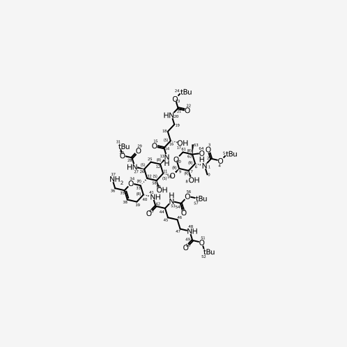 CN(C(=O)OC(C)(C)C)[C@@H]1[C@@H](O)[C@@H](O[C@H]2[C@H](NC(=O)[C@@H](O)CCNC(=O)OC(C)(C)C)C[C@H](NC(=O)OC(C)(C)C)C([C@H]3OC(CN)=CC[C@H]3NC(=O)C(CCCNC(=O)OC(C)(C)C)NC(=O)OC(C)(C)C)[C@@H]2O)OC[C@]1(C)O